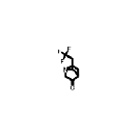 O=C1CN2CCC1CC2CC(F)(F)F